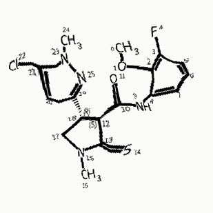 COc1c(F)cccc1NC(=O)[C@H]1C(=S)N(C)C[C@@H]1c1cc(Cl)n(C)n1